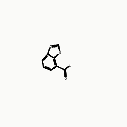 O=C(Cl)c1cccc2ncoc12